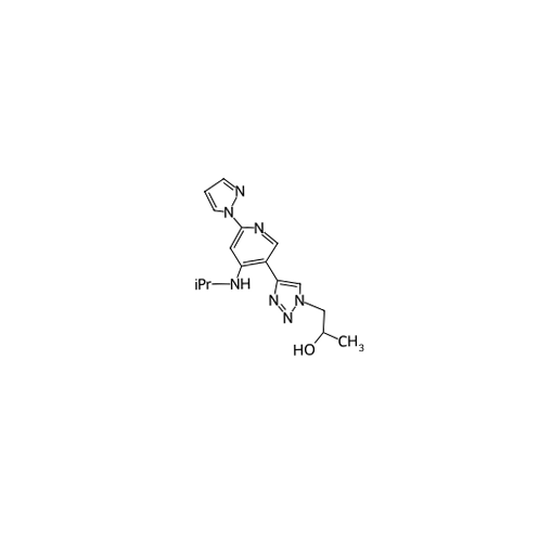 CC(O)Cn1cc(-c2cnc(-n3cccn3)cc2NC(C)C)nn1